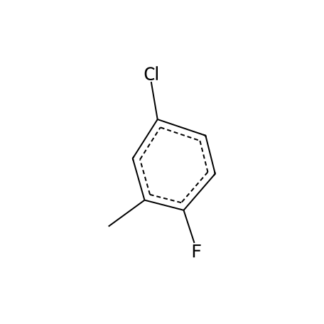 Cc1cc(Cl)ccc1F